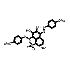 COc1ccc(N=Nc2c(O)c(O)c(N=Nc3ccc(OC)cc3)c3c(S(=O)(=O)[O-])cccc23)cc1.[Na+]